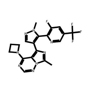 Cc1nc(-c2cnn(C)c2-c2ncc(C(F)(F)F)cc2F)c2c(N3CCC3)ncnn12